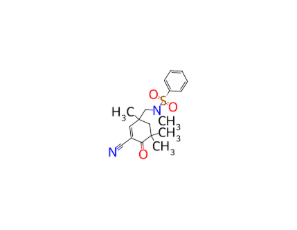 CN(CC1(C)C=C(C#N)C(=O)C(C)(C)C1)S(=O)(=O)c1ccccc1